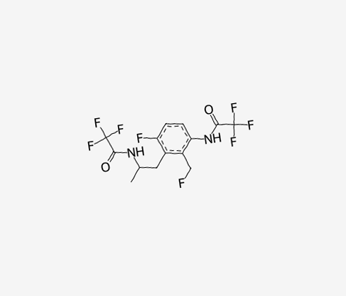 CC(Cc1c(F)ccc(NC(=O)C(F)(F)F)c1CF)NC(=O)C(F)(F)F